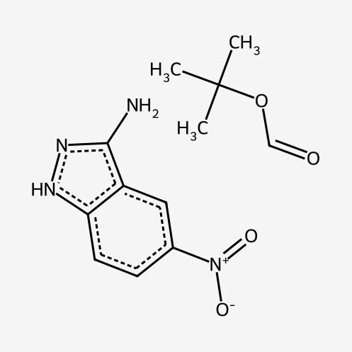 CC(C)(C)OC=O.Nc1n[nH]c2ccc([N+](=O)[O-])cc12